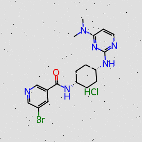 CN(C)c1ccnc(N[C@H]2CC[C@@H](NC(=O)c3cncc(Br)c3)CC2)n1.Cl